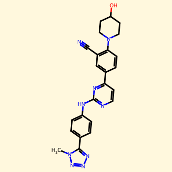 Cn1nnnc1-c1ccc(Nc2nccc(-c3ccc(N4CCC(O)CC4)c(C#N)c3)n2)cc1